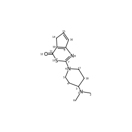 CN(C)C1CCN(c2nc3c(c(=O)s2)CC=C3)CC1